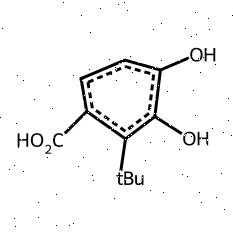 CC(C)(C)c1c(C(=O)O)ccc(O)c1O